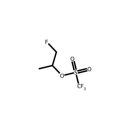 CC(CF)OS(=O)(=O)C(F)(F)F